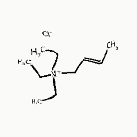 CC=CC[N+](CC)(CC)CC.[Cl-]